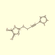 O=c1on(OCC#Cc2cccs2)oc1=O